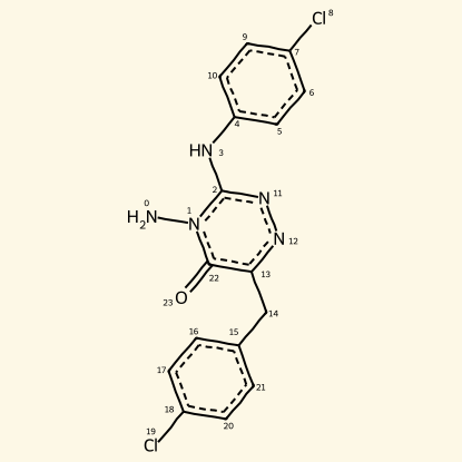 Nn1c(Nc2ccc(Cl)cc2)nnc(Cc2ccc(Cl)cc2)c1=O